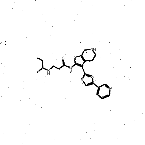 CCC(C)NCCC(=O)Nc1sc2c(c1-c1nc(-c3cccnc3)cs1)CCNC2